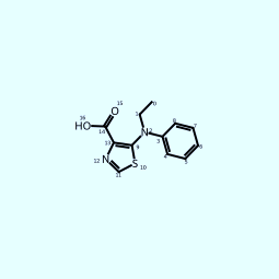 CCN(c1ccccc1)c1scnc1C(=O)O